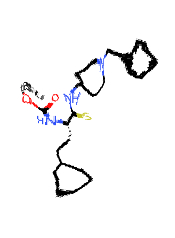 CC(C)(C)OC(=O)N[C@@H](CCC1CCCCC1)C(=S)NC1CCN(Cc2ccccc2)CC1